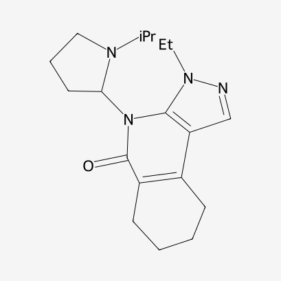 CCn1ncc2c3c(c(=O)n(C4CCCN4C(C)C)c21)CCCC3